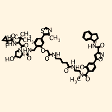 Cc1ncsc1-c1ccc(CNC(=O)[C@@H]2C[C@@H](O)CN2C(=O)C(NC(=O)C2(F)CC2)C(C)(C)C)c(OCC(=O)NCCCCC(=O)NCCN(C)C(=O)c2ccc(-c3cc(C(=O)N[C@@H]4CCc5ccccc54)no3)cc2O)c1